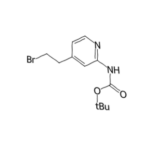 CC(C)(C)OC(=O)Nc1cc(CCBr)ccn1